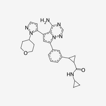 Nc1ncnn2c(-c3cccc(C4CC4C(=O)NC4CC4)c3)cc(-c3ccnn3C3CCOCC3)c12